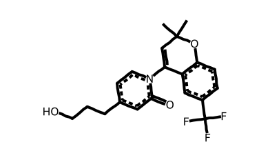 CC1(C)C=C(n2ccc(CCCO)cc2=O)c2cc(C(F)(F)F)ccc2O1